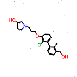 Cc1c(CO)cccc1-c1cccc(OCCCN2CCC(O)C2)c1Cl